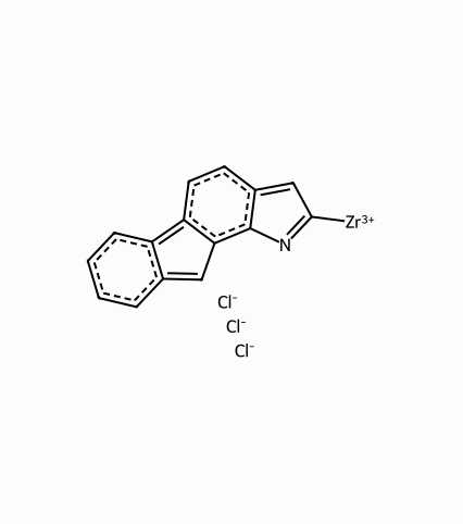 [Cl-].[Cl-].[Cl-].[Zr+3][C]1=Nc2c3c(ccc2=C1)=c1ccccc1=C3